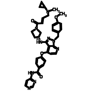 COc1ccc(Cn2nc(N[C@@H]3CCN(C(=O)C=CCN(C)C4CC4)C3)c3c(Oc4ccc(C(=O)Nc5ccncn5)cc4)ccnc32)cc1